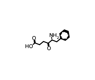 N[C@@H](Cc1cc#ccc1)C(=O)CCC(=O)O